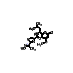 COc1cc(C(CC(C)C)NC(=O)C2CSC(/C(C)=N/O)=N2)oc(=O)c1